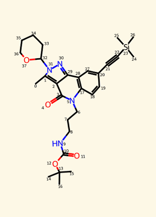 Cc1c2c(=O)n(CCCNC(=O)OC(C)(C)C)c3ccc(C#C[Si](C)(C)C)cc3c2nn1C1CCCCO1